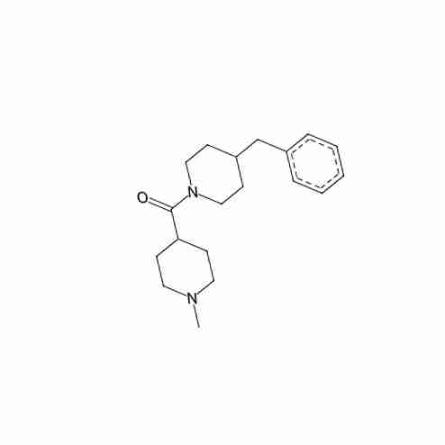 CN1CCC(C(=O)N2CCC(Cc3ccccc3)CC2)CC1